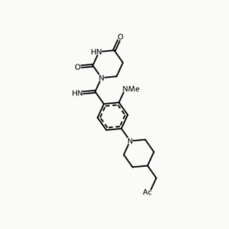 CNc1cc(N2CCC(CC(C)=O)CC2)ccc1C(=N)N1CCC(=O)NC1=O